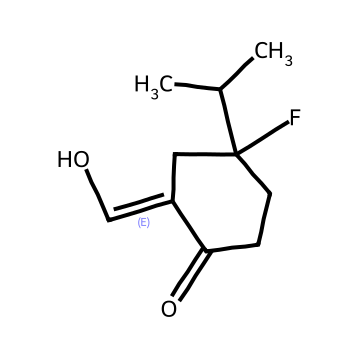 CC(C)C1(F)CCC(=O)/C(=C/O)C1